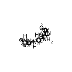 COc1ccc2nccc([C@@H](O)[C@H](N)C3CCC(NCc4ccc5c(n4)NC(=O)CS5)CC3)c2n1